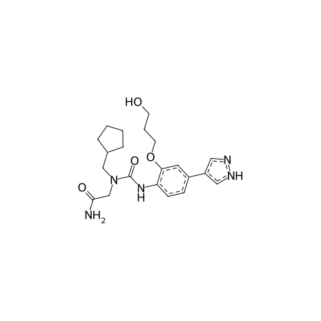 NC(=O)CN(CC1CCCC1)C(=O)Nc1ccc(-c2cn[nH]c2)cc1OCCCO